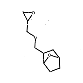 C(OCC1CC2CCC1O2)C1CO1